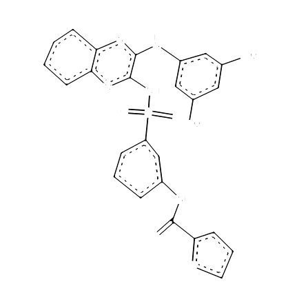 COc1cc(Nc2nc3ccccc3nc2NS(=O)(=O)c2cccc(NC(=O)c3ccco3)c2)cc(OC)c1